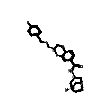 O=C(N[C@@H]1C[C@@H]2CCN(C2)C1)c1ccc2c(c1)O[C@@H](COCc1ccc(F)cc1)CO2